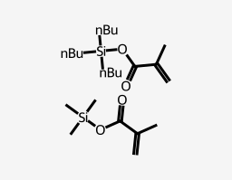 C=C(C)C(=O)O[Si](C)(C)C.C=C(C)C(=O)O[Si](CCCC)(CCCC)CCCC